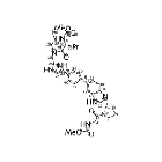 COC(=O)NCC(=O)N1CCC[C@H]1c1nc2ccc(-c3ccc(C4=CNC(CN(CCI)C(=O)[C@@H](NC(=O)OC)C(C)C)N4)cc3)cc2[nH]1